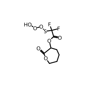 O=C1OCCCCC1OC(=O)C(F)(F)SOOO